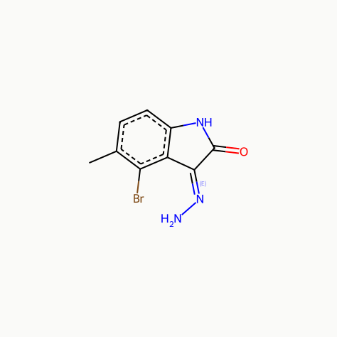 Cc1ccc2c(c1Br)/C(=N\N)C(=O)N2